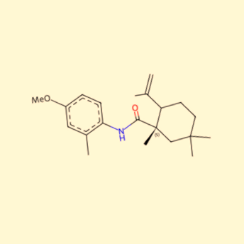 C=C(C)C1CCC(C)(C)C[C@]1(C)C(=O)Nc1ccc(OC)cc1C